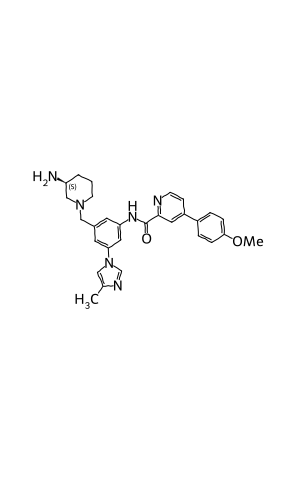 COc1ccc(-c2ccnc(C(=O)Nc3cc(CN4CCC[C@H](N)C4)cc(-n4cnc(C)c4)c3)c2)cc1